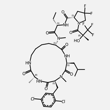 CC[C@H](NC(=O)[C@@H]1CC(F)(F)CN1C(=O)[C@@](C)(O)C(F)(F)F)C(=O)N(C)[C@H]1CCCCNC(=O)[C@@H](C)NC(=O)[C@H](Cc2cc(Cl)ccc2Cl)N(C)C(=O)[C@H](CC(C)C)NC1=O